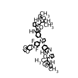 COC(=O)N[C@H](C(=O)N1CCCC1c1nc2cc([C@H]3CC[C@H](c4ccc5[nH]c([C@@H]6CCCN6C(=O)[C@@H](NC(=O)OC)C(C)C)nc5c4)N3c3cc(F)c(N4CCC5(CC4)OCCO5)c(F)c3)ccc2[nH]1)C(C)C